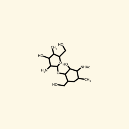 CC(=O)NC1C(C)CC(CO)C(OC2OC(CO)C(C)C(O)C2N)C1O